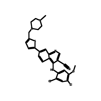 COc1cc(Nc2c(C#N)cnc3cc(-c4ccc(CN5CCN(C)CC5)s4)ccc23)c(Cl)cc1Cl